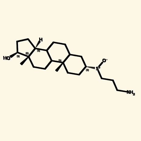 C[C@]12CC[C@@H]([S+]([O-])CCCN)CC1CCC1C2CC[C@]2(C)[C@@H](O)CC[C@@H]12